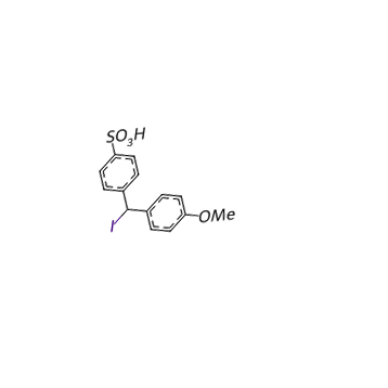 COc1ccc(C(I)c2ccc(S(=O)(=O)O)cc2)cc1